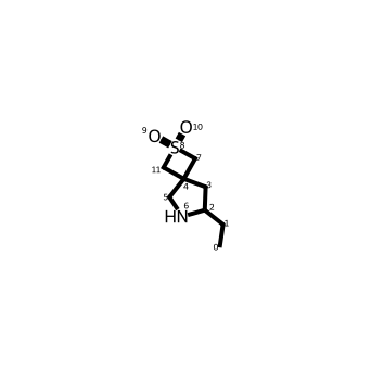 CCC1CC2(CN1)CS(=O)(=O)C2